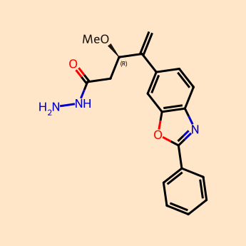 C=C(c1ccc2nc(-c3ccccc3)oc2c1)[C@@H](CC(=O)NN)OC